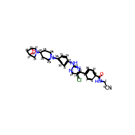 N#CCNC(=O)c1ccc(-c2nc(Nc3ccc(N4CCC(N5CC6CC(C5)O6)CC4)cc3)ncc2Cl)cc1